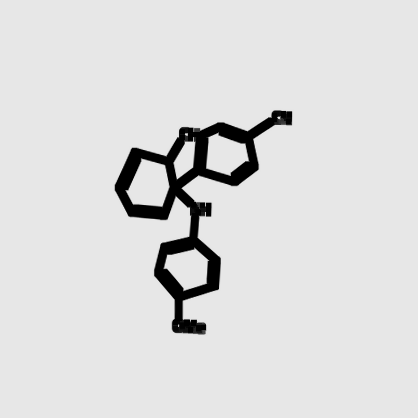 COc1ccc(NC2(c3ccc(C#N)cc3)C=CC=CC2C)cc1